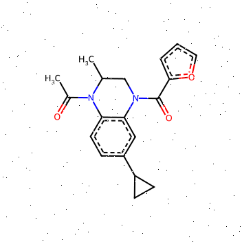 CC(=O)N1c2ccc(C3CC3)cc2N(C(=O)c2ccco2)CC1C